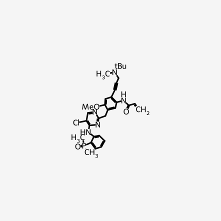 C=CC(=O)Nc1cc(Cc2ncc(Cl)c(Nc3ccccc3P(C)(C)=O)n2)c(OC)cc1C#CCN(C)C(C)(C)C